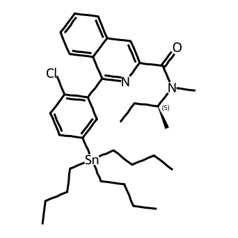 CCC[CH2][Sn]([CH2]CCC)([CH2]CCC)[c]1ccc(Cl)c(-c2nc(C(=O)N(C)[C@@H](C)CC)cc3ccccc23)c1